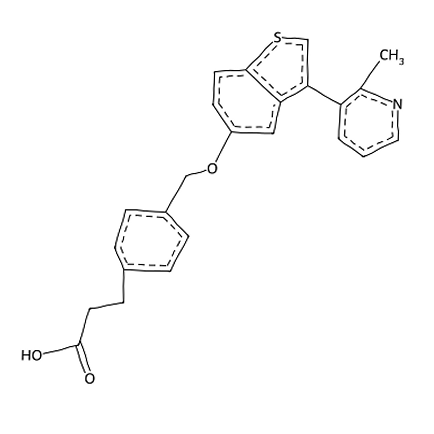 Cc1ncccc1-c1csc2ccc(OCc3ccc(CCC(=O)O)cc3)cc12